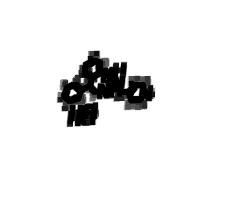 Cl.Cl.c1ccc(C2CNC(NCc3ccncc3)=Nc3ccccc32)cc1